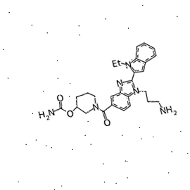 CCn1c(-c2nc3cc(C(=O)N4CCCC(OC(N)=O)C4)ccc3n2CCCN)cc2ccccc21